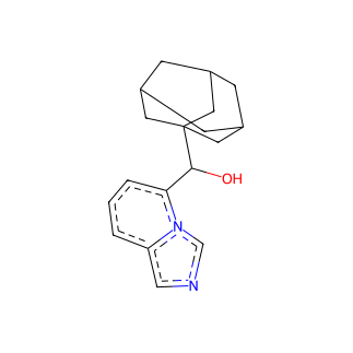 OC(c1cccc2cncn12)C12CC3CC(CC(C3)C1)C2